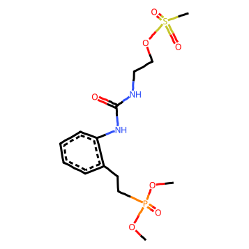 COP(=O)(CCc1ccccc1NC(=O)NCCOS(C)(=O)=O)OC